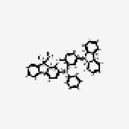 CC1(C)c2ccccc2-c2ccc3c(c21)Sc1ccc(-n2c4ccccc4c4ccccc42)cc1N3c1ccccc1